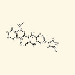 COc1cc(C(Nc2ccc(-c3noc(C)n3)cc2)C(N)=S)c(F)c2c1OCCC2